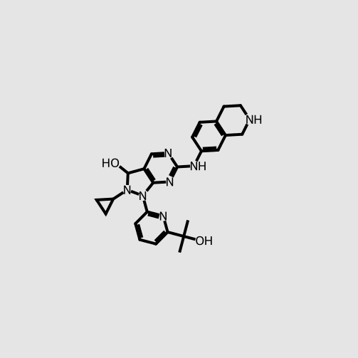 CC(C)(O)c1cccc(N2c3nc(Nc4ccc5c(c4)CNCC5)ncc3C(O)N2C2CC2)n1